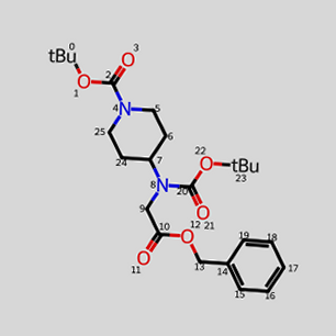 CC(C)(C)OC(=O)N1CCC(N(CC(=O)OCc2ccccc2)C(=O)OC(C)(C)C)CC1